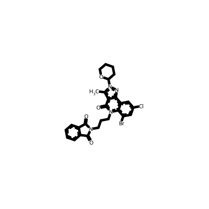 Cc1c2c(=O)n(CCCN3C(=O)c4ccccc4C3=O)c3c(Br)cc(Cl)cc3c2nn1C1CCCCO1